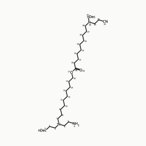 CCCCCCCCCCCCN(CCN)CCCCCCCCCCOC(=O)CCCCCCCCCN(CCC#N)CCCCCCCCCC